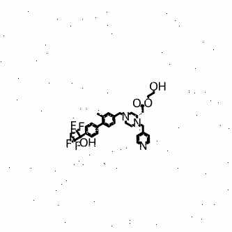 Cc1cc(CN2CCN(Cc3ccncc3)[C@@H](CC(=O)OCCO)C2)ccc1-c1ccc(C(O)(C(F)(F)F)C(F)(F)F)cc1